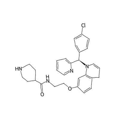 O=C(NCCOc1ccc2c(c1)N([C@H](c1ccc(Cl)cc1)c1ccccn1)C=CC2)C1CCNCC1